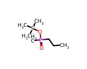 CCCP(C)(=O)O[Si](C)(C)C